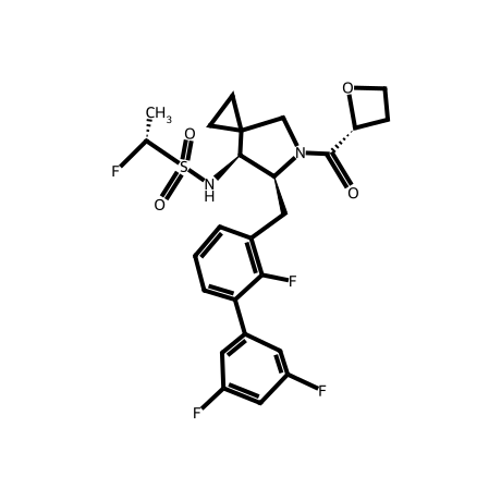 C[C@@H](F)S(=O)(=O)N[C@@H]1[C@H](Cc2cccc(-c3cc(F)cc(F)c3)c2F)N(C(=O)[C@H]2CCO2)CC12CC2